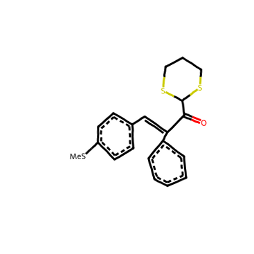 CSc1ccc(/C=C(/C(=O)C2SCCCS2)c2ccccc2)cc1